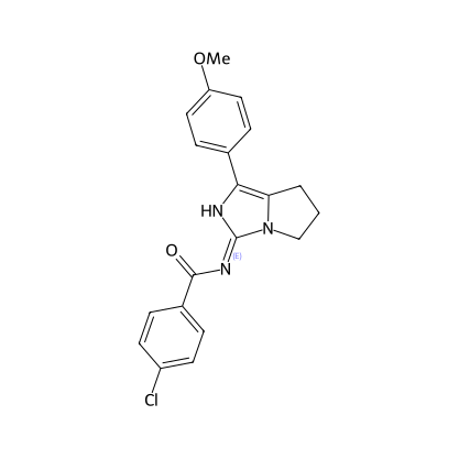 COc1ccc(-c2[nH]/c(=N\C(=O)c3ccc(Cl)cc3)n3c2CCC3)cc1